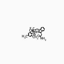 Cc1cc(C)c(S(=O)(=O)NC(Cn2cc(CC(N)=O)c3ccccc32)C(F)(F)F)c(C)c1